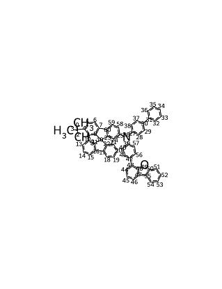 CC(C)(C)c1ccc2c(c1)C1(c3ccccc3-c3ccccc31)c1cc(N(c3ccc(-c4ccccc4)cc3)c3ccc(-c4cccc5c4oc4ccccc45)cc3)ccc1-2